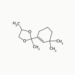 CC1COC(C)(C2=CC(C)(C)CCC2)O1